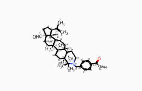 C=C(C)[C@@H]1CC[C@]2(C=O)CC[C@]3(C)[C@H](CC[C@@H]4[C@@]5(C)CCN(Cc6ccc(C(=O)OC)cc6)C(C)(C)[C@@H]5CC[C@]43C)[C@@H]12